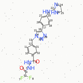 O=C(NNC(=O)C(F)F)c1ccc(Cn2cc(-c3ccc(NC4=NCCN4)cc3)nn2)cc1